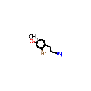 COc1ccc(CCC#N)c(Br)c1